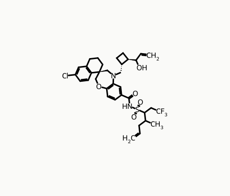 C=CCC(C)C(CC(F)(F)F)S(=O)(=O)NC(=O)c1ccc2c(c1)N(C[C@@H]1CC[C@H]1C(O)C=C)C[C@@]1(CCCc3cc(Cl)ccc31)CO2